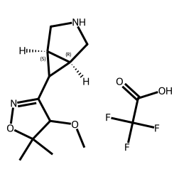 COC1C(C2[C@H]3CNC[C@@H]23)=NOC1(C)C.O=C(O)C(F)(F)F